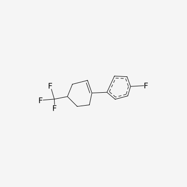 Fc1ccc(C2=CCC(C(F)(F)F)CC2)cc1